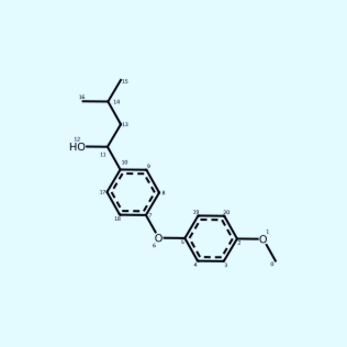 COc1ccc(Oc2ccc(C(O)CC(C)C)cc2)cc1